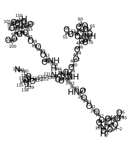 C=C(C)O[C@@H]1[C@H](OC(C)=O)[C@@H](NC(C)=O)[C@H](OCCOCCOCCOCC(=O)NCCCC[C@H](NC(=O)COCCOCCOCCO[C@@H]2O[C@H](COC(C)=O)[C@H](OC(C)=O)[C@H](OC(C)=O)[C@H]2NC(C)=O)C(=O)N[C@@H](CCCCNC(=O)COCCOCCOCCO[C@@H]2O[C@H](COC(C)=O)[C@H](OC(C)=O)[C@H](OC(C)=O)[C@H]2NC(C)=O)C(=O)NCCCCCCOP(OCCC#N)N(C(C)C)C(C)C)O[C@@H]1COC(C)=O